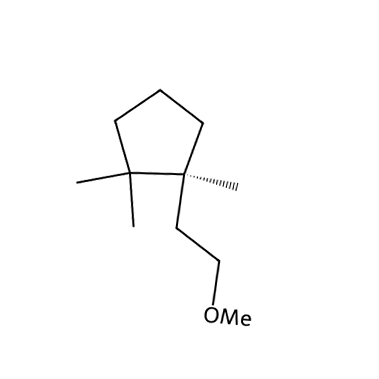 COCC[C@]1(C)CCCC1(C)C